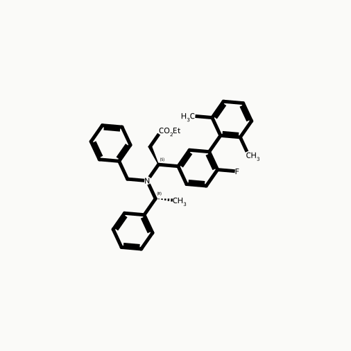 CCOC(=O)C[C@@H](c1ccc(F)c(-c2c(C)cccc2C)c1)N(Cc1ccccc1)[C@H](C)c1ccccc1